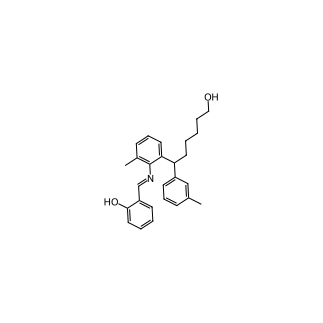 Cc1cccc(C(CCCCCO)c2cccc(C)c2N=Cc2ccccc2O)c1